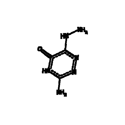 NNc1nnc(N)[nH]c1=O